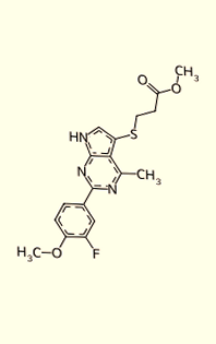 COC(=O)CCSc1c[nH]c2nc(-c3ccc(OC)c(F)c3)nc(C)c12